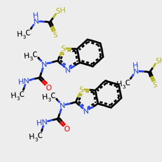 CNC(=O)N(C)c1nc2ccccc2s1.CNC(=O)N(C)c1nc2ccccc2s1.CNC(=S)S.CNC(=S)S